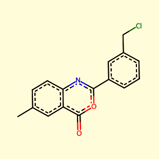 Cc1ccc2nc(-c3cccc(CCl)c3)oc(=O)c2c1